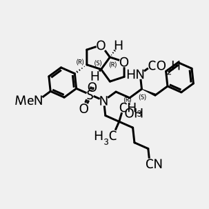 CNc1ccc([C@@H]2CO[C@H]3OCC[C@H]32)c(S(=O)(=O)N(C[C@@H](O)[C@H](Cc2ccccc2)NC(=O)O)CC(C)(C)CCCC#N)c1